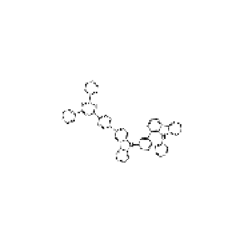 c1ccc(-c2cc(-c3ccc(-c4ccc5c(c4)c4ccccc4n5-c4cccc(-c5cccc6c7ccccc7n(-c7ccccc7)c56)c4)cc3)nc(-c3ccccc3)n2)cc1